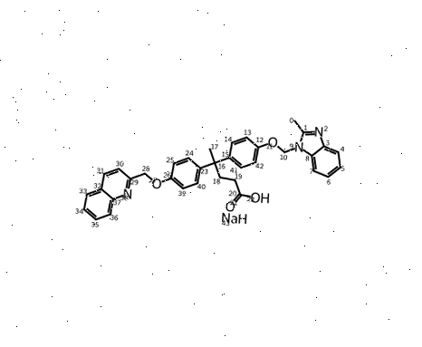 Cc1nc2ccccc2n1COc1ccc(C(C)(CCC(=O)O)c2ccc(OCc3ccc4ccccc4n3)cc2)cc1.[NaH]